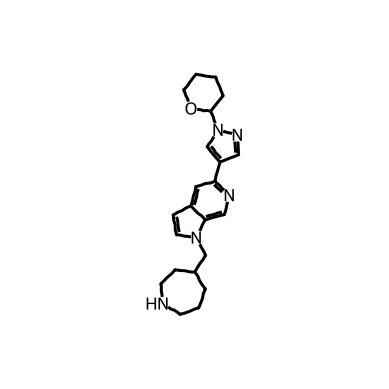 c1nn(C2CCCCO2)cc1-c1cc2ccn(CC3CCCNCC3)c2cn1